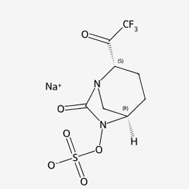 O=C1N2C[C@@H](CC[C@H]2C(=O)C(F)(F)F)N1OS(=O)(=O)[O-].[Na+]